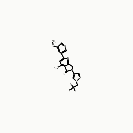 CSc1cncc(-c2cc(C)c3c(n2)CN(c2cnn(CC(F)(F)F)c2)C3=O)c1